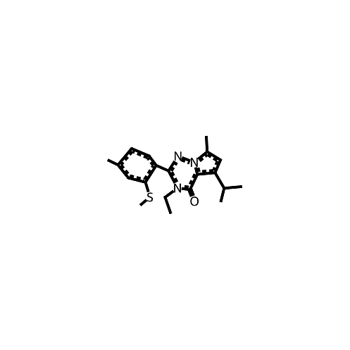 CCn1c(-c2ccc(C)cc2SC)nn2c(C)cc(C(C)C)c2c1=O